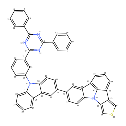 c1ccc(-c2nc(-c3ccccc3)nc(-c3cccc(-n4c5ccccc5c5cc(-c6ccc7c(c6)c6cccc8c9cscc9n7c68)ccc54)c3)n2)cc1